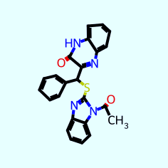 CC(=O)n1c(SC(c2ccccc2)c2nc3ccccc3[nH]c2=O)nc2ccccc21